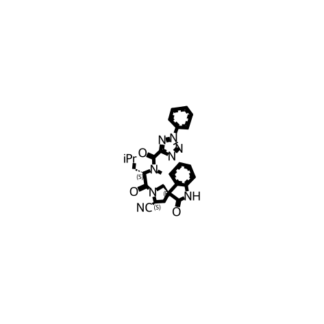 CC(C)C[C@@H](C(=O)N1C[C@]2(C[C@H]1C#N)C(=O)Nc1ccccc12)N(C)C(=O)c1nnn(-c2ccccc2)n1